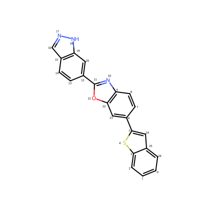 c1ccc2sc(-c3ccc4nc(-c5ccc6cn[nH]c6c5)oc4c3)cc2c1